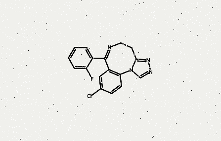 Fc1ccccc1C1=NCCc2nncn2-c2ccc(Cl)cc21